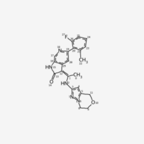 C/C(Nc1cc2n(n1)CCOC2)=C1/C(=O)Nc2cnc(-c3c(C)cccc3F)cc21